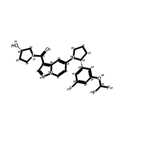 O=C(c1cnn2ccc(N3CCC[C@@H]3c3cc(F)cc(OC(F)F)c3)cc12)N1CC[C@H](O)C1